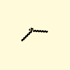 CCCCCCCCCCCCN1C=CN(C)C1CCCCCCCCCCC